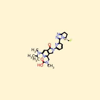 CC(C)N(C)c1cc2c(c(CN(C)C(=O)O)n1)CN(c1cccc(-c3nnc4n3[C@@H](CF)CC4)n1)C2=O